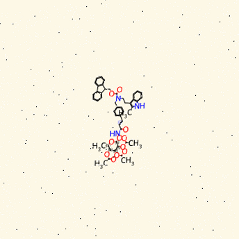 CC(=O)O[C@H]1[C@H](OC(C)=O)[C@H](ONC(=O)/C=C/c2ccc(CN(CCc3c(C)[nH]c4ccccc34)C(=O)OCC3c4ccccc4-c4ccccc43)cc2)O[C@@H](C)[C@H]1OC(C)=O